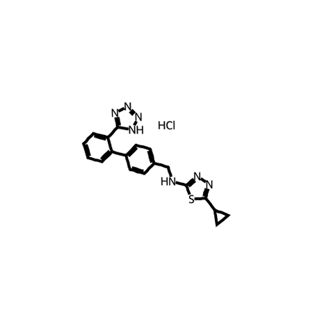 Cl.c1ccc(-c2nnn[nH]2)c(-c2ccc(CNc3nnc(C4CC4)s3)cc2)c1